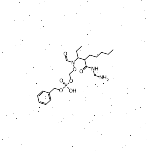 CCCCCC(C(=O)NCN)C(CC)N(C=O)OCOP(=O)(O)OCc1ccccc1